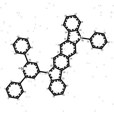 c1ccc(-c2cc(-n3c4ccccc4c4cc5cc6c(cc5cc43)c3ccccc3n6-c3ccccc3)cc(-c3ccccc3)n2)cc1